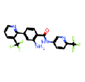 Nc1cc(-c2ncccc2C(F)(F)F)ccc1C(=O)Nc1ccc(C(F)(F)F)nc1